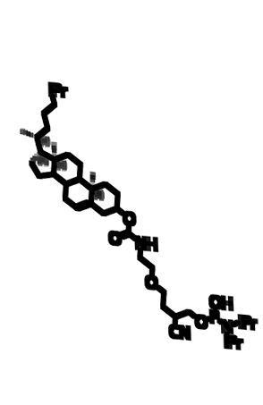 CC(C)CCC[C@@H](C)[C@H]1CCC2C3CC=C4CC(OC(=O)NCCOCCC(C#N)COP(O)N(C(C)C)C(C)C)CC[C@]4(C)C3CC[C@@]21C